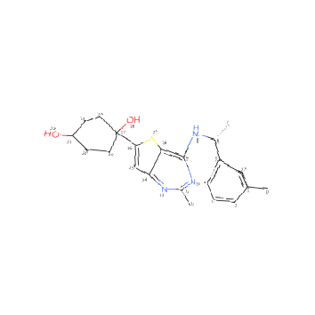 Cc1cccc([C@@H](C)Nc2nc(C)nc3cc(C4(O)CCC(O)CC4)sc23)c1